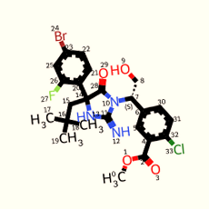 COC(=O)c1cc([C@@H](CO)N2C(=N)NC(CC(C)(C)C)(c3ccc(Br)cc3F)C2=O)ccc1Cl